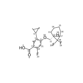 O=C(O)c1cc(C2CC2)c(OC[C@]23CCCC[C@H]2C3(F)F)cc1F